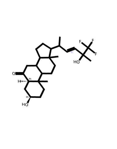 CC(/C=C/C(C)(O)C(F)(F)F)C1CCC2C3CC(=O)[C@@H]4C[C@H](O)CCC4(C)C3CCC12C